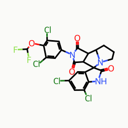 O=C1C2C3CCCN3C3(C(=O)Nc4c(Cl)cc(Cl)cc43)C2C(=O)N1c1cc(Cl)c(OC(F)F)c(Cl)c1